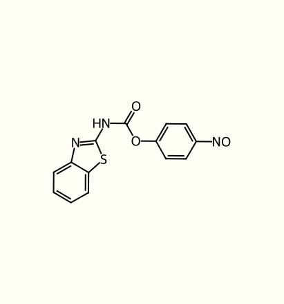 O=Nc1ccc(OC(=O)Nc2nc3ccccc3s2)cc1